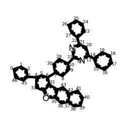 c1ccc(-c2cc(-c3ccc(-c4nc(-c5ccccc5)cc(-c5ccccc5)n4)cc3)c3c(c2)oc2cc4ccccc4cc23)cc1